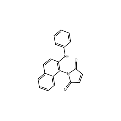 O=C1C=CC(=O)N1c1c(Nc2ccccc2)ccc2ccccc12